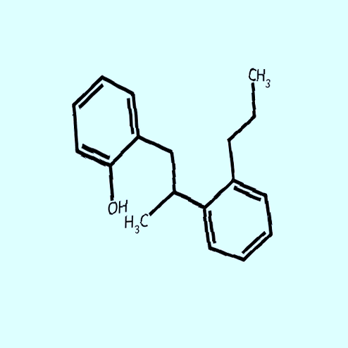 CCCc1ccccc1C(C)Cc1ccccc1O